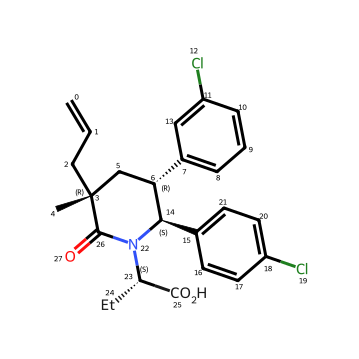 C=CC[C@]1(C)C[C@H](c2cccc(Cl)c2)[C@@H](c2ccc(Cl)cc2)N([C@@H](CC)C(=O)O)C1=O